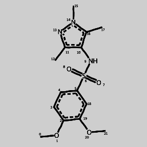 COc1ccc(S(=O)(=O)Nc2c(C)nn(C)c2C)cc1OC